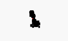 CN(C)NC(=N)Nc1cc(CCc2ccc(-c3ccccc3)c(F)c2)no1